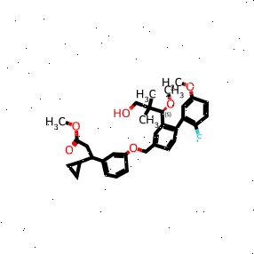 COC(=O)CC(c1cccc(OCc2ccc(-c3cc(OC)ccc3F)c([C@H](OC)C(C)(C)CO)c2)c1)C1CC1